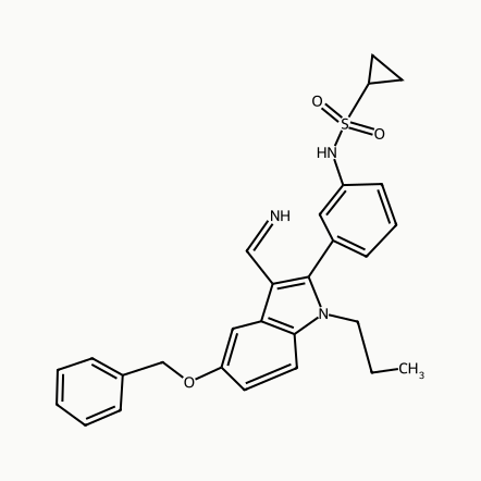 CCCn1c(-c2cccc(NS(=O)(=O)C3CC3)c2)c(C=N)c2cc(OCc3ccccc3)ccc21